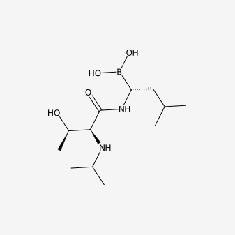 CC(C)C[C@H](NC(=O)[C@@H](NC(C)C)[C@@H](C)O)B(O)O